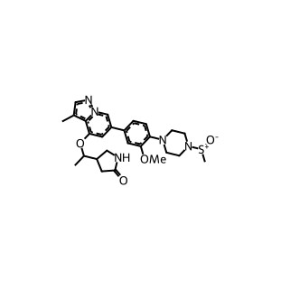 COc1cc(-c2cc(OC(C)C3CNC(=O)C3)c3c(C)cnn3c2)ccc1N1CCN([S+](C)[O-])CC1